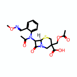 CON=Cc1ccccc1N(C(C)=O)C1C(=O)N2CC(COC(C)=O)(C(=O)O)CS[C@H]12